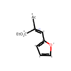 CCOC(=O)/C(=C\c1ccco1)C(C)=O